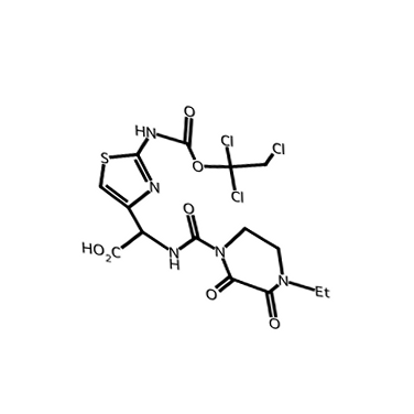 CCN1CCN(C(=O)NC(C(=O)O)c2csc(NC(=O)OC(Cl)(Cl)CCl)n2)C(=O)C1=O